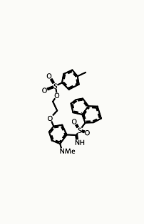 CNc1ccc(OCCOS(=O)(=O)c2ccc(C)cc2)cc1C(=N)S(=O)(=O)c1cccc2ccccc12